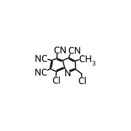 Cc1c(CCl)nc2c(Cl)c(C#N)c(C#N)c(C#N)c2c1C#N